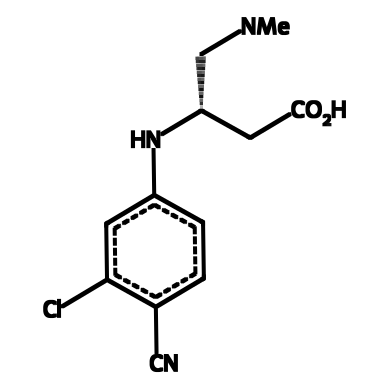 CNC[C@H](CC(=O)O)Nc1ccc(C#N)c(Cl)c1